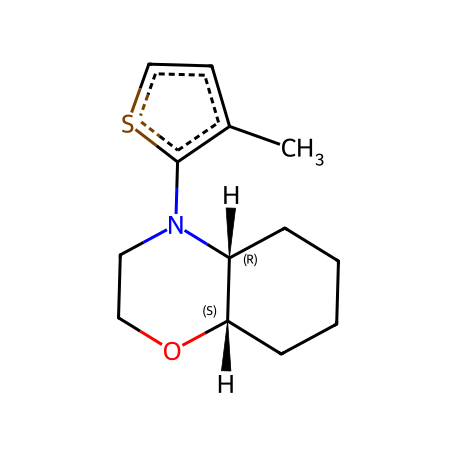 Cc1ccsc1N1CCO[C@H]2CCCC[C@H]21